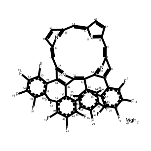 Fc1c(F)c(F)c(C2=CC3=CC4=NC(=CC5=NC(=CC6=NC(=C(c7c(F)c(F)c(F)c(F)c7F)C2=N3)C(c2c(F)c(F)c(F)c(F)c2F)=C6c2c(F)c(F)c(F)c(F)c2F)C=C5)C=C4)c(F)c1F.[MgH2]